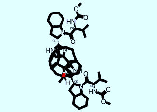 COC(=O)N[C@H](C(=O)N1C2CCCCC2C[C@H]1c1nc(-c2cc3ccc2CCc2ccc(c(-c4c[nH]c([C@@H]5CC6CCCCC6N5C(=O)[C@@H](NC(=O)OC)C(C)C)n4)c2)C[C@H]3C)c[nH]1)C(C)C